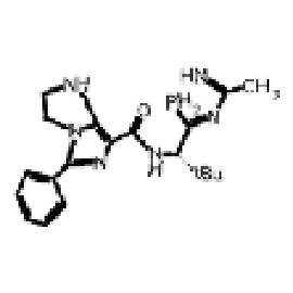 CC(=N)/N=C(\P)[C@@H](NC(=O)c1nc(-c2ccccc2)n2c1CNCC2)C(C)(C)C